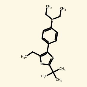 CCc1sc(C(C)(C)C)nc1-c1ccc(N(CC)CC)cc1